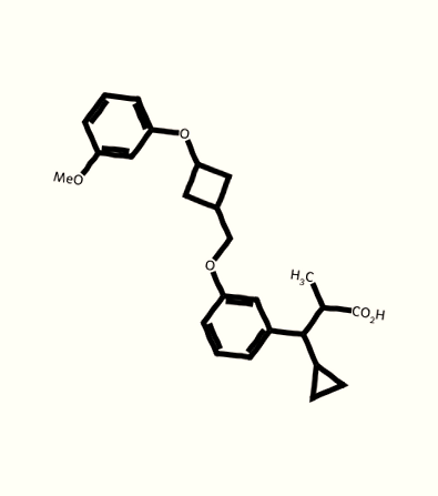 COc1cccc(OC2CC(COc3cccc(C(C4CC4)C(C)C(=O)O)c3)C2)c1